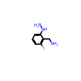 NCc1c(F)cccc1NN